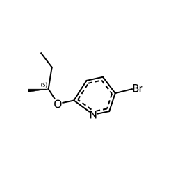 CC[C@H](C)Oc1ccc(Br)cn1